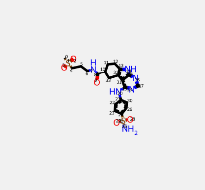 CS(=O)(=O)CCCNC(=O)[C@H]1CCc2[nH]c3ncnc(Nc4ccc(S(N)(=O)=O)cc4)c3c2C1